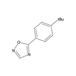 CC(C)(C)c1ccc(-c2ncno2)cc1